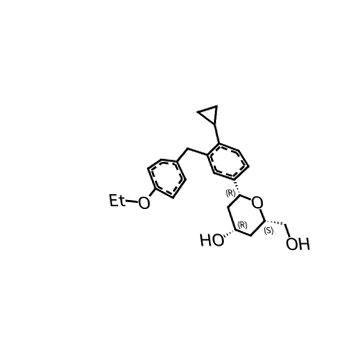 CCOc1ccc(Cc2cc([C@H]3C[C@@H](O)C[C@@H](CO)O3)ccc2C2CC2)cc1